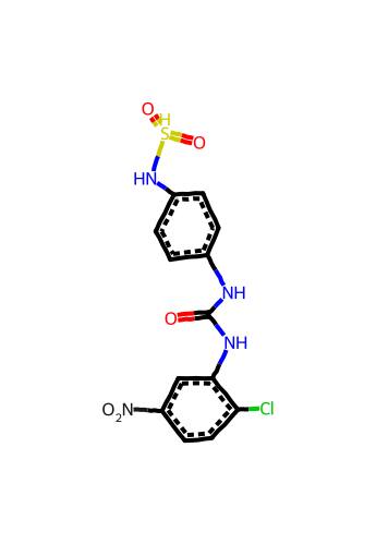 O=C(Nc1ccc(N[SH](=O)=O)cc1)Nc1cc([N+](=O)[O-])ccc1Cl